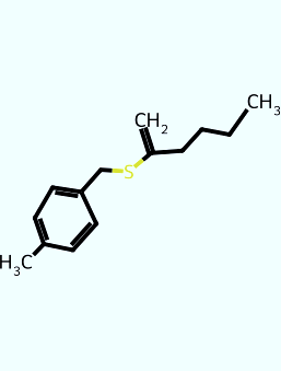 C=C(CCCC)SCc1ccc(C)cc1